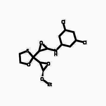 CCO[C@H]1OC1C1(C2OC2NC2CC(Cl)CC(Cl)C2)OCCS1